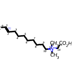 CC/C=C/CCCCCCCC[N+](C)(C)CC(=O)O